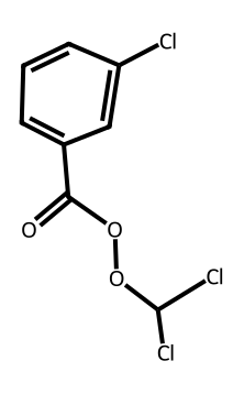 O=C(OOC(Cl)Cl)c1cccc(Cl)c1